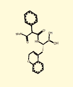 CNC(=O)C(C(=O)N[C@@H](CC1=CCOc2ccccc21)B(O)O)c1ccccc1